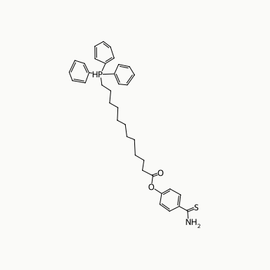 NC(=S)c1ccc(OC(=O)CCCCCCCCCCC[PH](c2ccccc2)(c2ccccc2)c2ccccc2)cc1